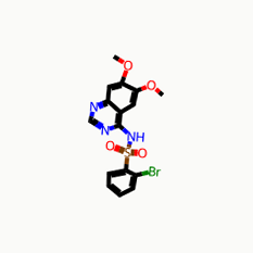 COc1cc2ncnc(NS(=O)(=O)c3ccccc3Br)c2cc1OC